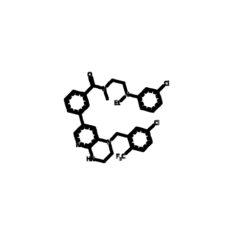 CCN(CCN(C)C(=O)c1cccc(-c2cnc3c(c2)N(Cc2cc(Cl)ccc2C(F)(F)F)CCN3)c1)c1cccc(Cl)c1